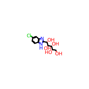 OCC(O)[C@@H](O)C(O)C(O)c1nc2cc(Cl)ccc2[nH]1